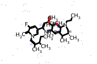 C=C1C(F)=CC(C(=C/C(C)=O)/N=C(/C=C\C(=C/C)N(CCC)C[C@H](C)C(C)CC)C(C)CC)=CN1/C=C(/C)C(C)CC